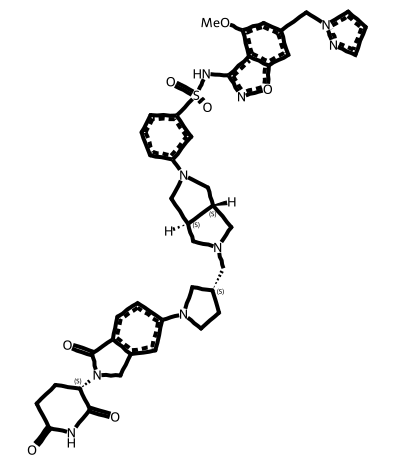 COc1cc(Cn2cccn2)cc2onc(NS(=O)(=O)c3cccc(N4C[C@@H]5CN(C[C@@H]6CCN(c7ccc8c(c7)CN([C@H]7CCC(=O)NC7=O)C8=O)C6)C[C@H]5C4)c3)c12